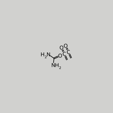 C=C=O.C=C=O.NC(N)=O